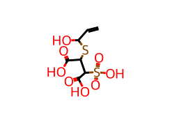 C=CC(O)SC(C(=O)O)C(C(=O)O)S(=O)(=O)O